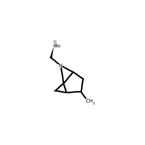 CC[C@H](C)CN1C2CC(C)C3CC321